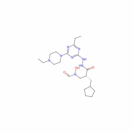 CCc1nc(NNC(=O)[C@H](CC2CCCC2)CN(O)C=O)nc(N2CCN(CC)CC2)n1